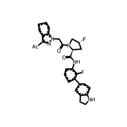 CC(=O)c1nn(CC(=O)N2C[C@H](F)C[C@H]2C(=O)Nc2cccc(-c3ccc4c(c3)CCN4)c2F)c2ccccc12